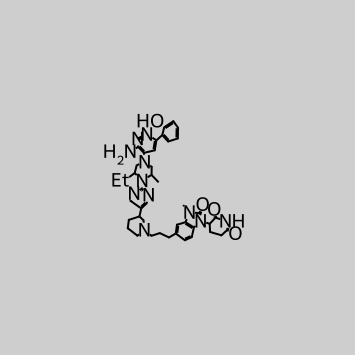 CCC1CN(c2cc(-c3ccccc3O)nnc2N)CC(C)N1c1ncc(C2CCCN(CCCc3ccc4c(c3)n(C)c(=O)n4C3CCC(=O)NC3=O)C2)cn1